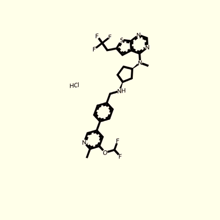 Cc1ncc(-c2ccc(CN[C@H]3CC[C@@H](N(C)c4ncnc5sc(CC(F)(F)F)cc45)C3)cc2)cc1OC(F)F.Cl